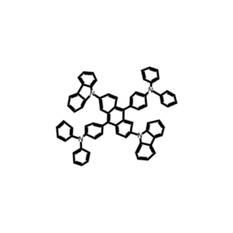 c1ccc(N(c2ccccc2)c2ccc(-c3c4ccc(-n5c6ccccc6c6ccccc65)cc4c(-c4ccc(N(c5ccccc5)c5ccccc5)cc4)c4ccc(-n5c6ccccc6c6ccccc65)cc34)cc2)cc1